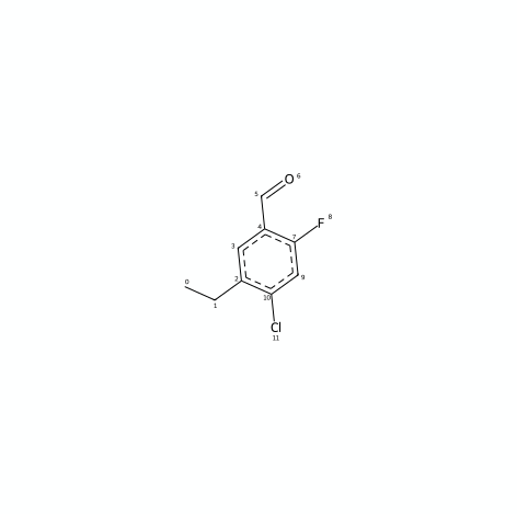 CCc1cc(C=O)c(F)cc1Cl